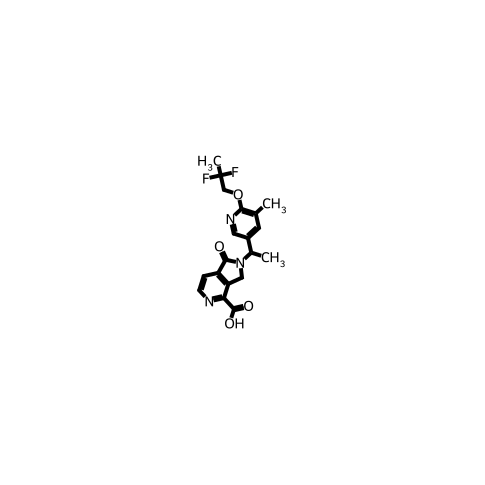 Cc1cc(C(C)N2Cc3c(ccnc3C(=O)O)C2=O)cnc1OCC(C)(F)F